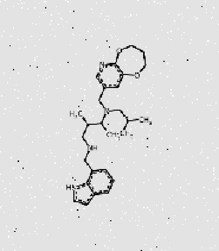 CC(C)CN(Cc1cnc2c(c1)OCCCO2)C(C)[C@H](C)CNCc1cccc2cc[nH]c12